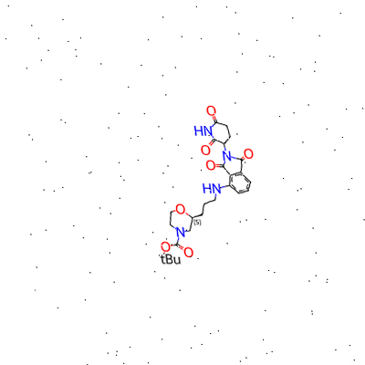 CC(C)(C)OC(=O)N1CCO[C@@H](CCCNc2cccc3c2C(=O)N(C2CCC(=O)NC2=O)C3=O)C1